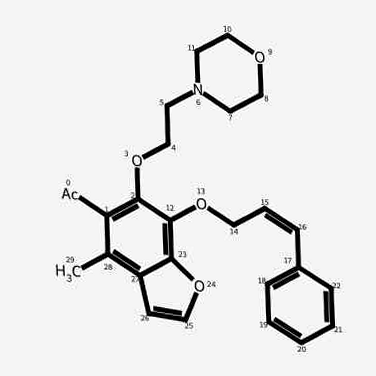 CC(=O)c1c(OCCN2CCOCC2)c(OC/C=C\c2ccccc2)c2occc2c1C